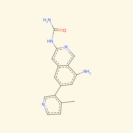 Cc1ccncc1-c1cc(N)c2cnc(NC(N)=O)cc2c1